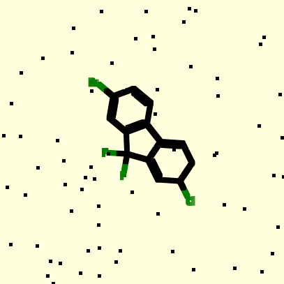 FC1(F)C2=CC(Cl)CC=C2c2ccc(Br)cc21